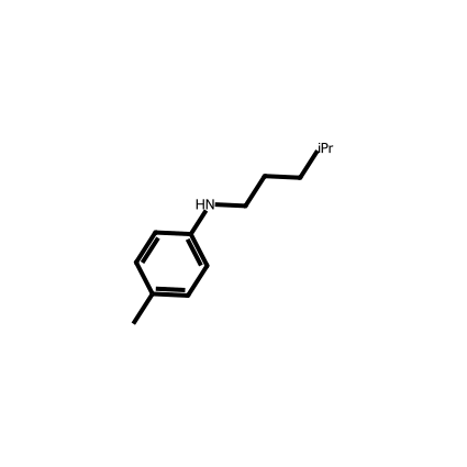 Cc1ccc(NCCCC(C)C)cc1